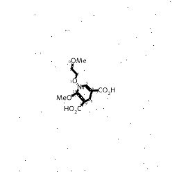 COCCON1C=C(C(=O)O)CC(C(=O)O)=C1OC